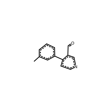 Cc1cccc(-c2ccncc2C=O)c1